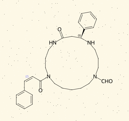 O=CN1CCCCCN(C(=O)/C=C\c2ccccc2)CCCNC(=O)C[C@@H](c2ccccc2)NCCC1